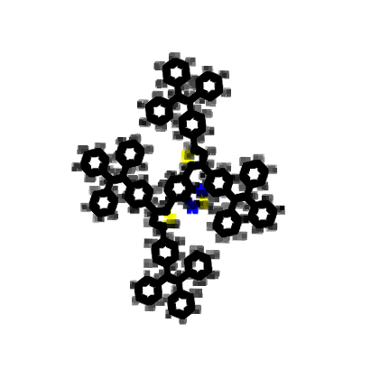 c1ccc(C(=C(c2ccccc2)c2ccc(-c3cc(-c4ccc(C(=C(c5ccccc5)c5ccccc5)c5ccccc5)cc4)c(-c4ccc(-c5sc(-c6ccc(C(=C(c7ccccc7)c7ccccc7)c7ccccc7)cc6)cc5-c5ccc(C(=C(c6ccccc6)c6ccccc6)c6ccccc6)cc5)c5nsnc45)s3)cc2)c2ccccc2)cc1